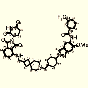 COc1cc2nn(C3CCC(CN4CCC5(CC4)CC(CNc4cccc6c4C(=O)N([C@@H]4CCC(=O)NC4=O)C6=O)C5)CC3)cc2cc1NC(=O)c1cccc(C(F)(F)F)n1